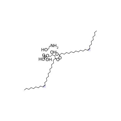 CCCCCCCC/C=C\CCCCCCCCCCCC(=O)OC(C(=O)CCCCCCCCCCC/C=C\CCCCCCCC)C(O)COP(=O)(O)O.NCCO